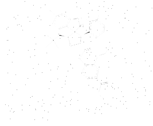 CCOc1cc(C(=O)OC)ccc1NC(=O)[C@@H]1N[C@@H](CC(C)(C)C)C2(C(=O)Nc3cc(Cl)ccc32)[C@H]1c1cccc(Cl)c1F